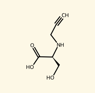 C#CCN[C@@H](CO)C(=O)O